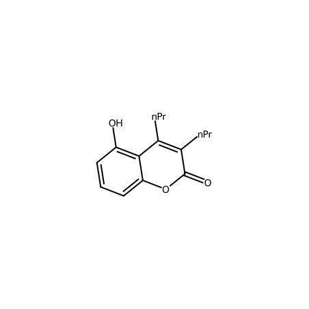 CCCc1c(CCC)c2c(O)cccc2oc1=O